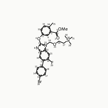 COC(=O)c1cc(Oc2nc3cc(-c4ccc(Br)cc4)c(F)cc3n2COCC[Si](C)(C)C)ccc1C